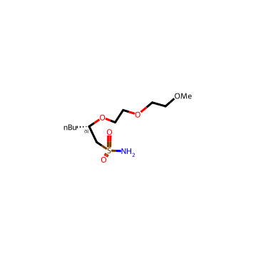 CCCC[C@@H](CS(N)(=O)=O)OCCOCCOC